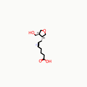 O=C(O)CCC/C=C\C[C@H]1COC[C@@H]1CO